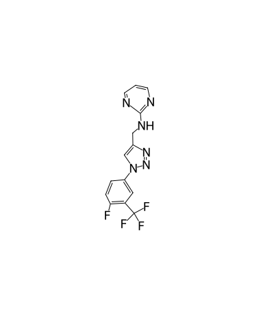 Fc1ccc(-n2cc(CNc3ncccn3)nn2)cc1C(F)(F)F